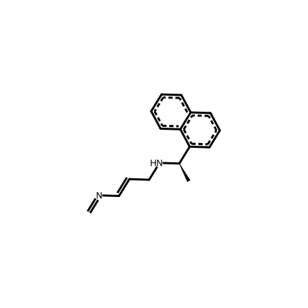 C=NC=CCN[C@H](C)c1cccc2ccccc12